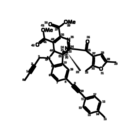 CC#CCN1c2ccc(C#Cc3ccc(C)cc3)cc2[C@]23C[C@@H](C)N(C(=O)c4cc(C)oc4C)C2=NC(C(=O)OC)=C(C(=O)OC)C13